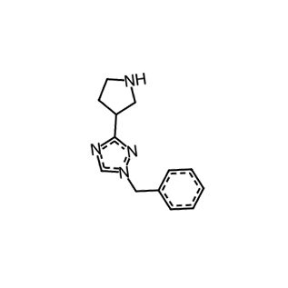 c1ccc(Cn2cnc(C3CCNC3)n2)cc1